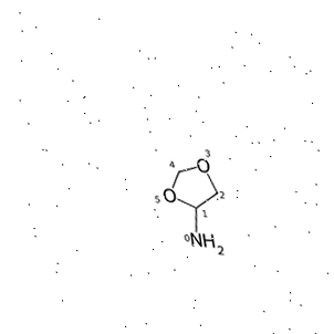 NC1COCO1